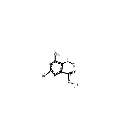 COC(=O)c1cc(Br)cc(C)c1SCl